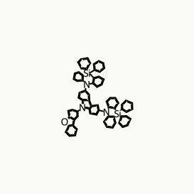 c1ccc([Si]2(c3ccccc3)c3ccccc3N(c3ccc4c(c3)c3cc(N5c6ccccc6[Si](c6ccccc6)(c6ccccc6)c6ccccc65)ccc3n4-c3ccc4oc5ccccc5c4c3)c3ccccc32)cc1